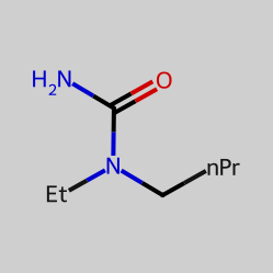 CCCCN(CC)C(N)=O